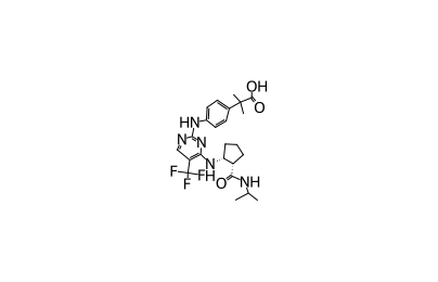 CC(C)NC(=O)[C@H]1CCC[C@H]1Nc1nc(Nc2ccc(C(C)(C)C(=O)O)cc2)ncc1C(F)(F)F